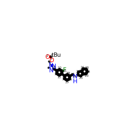 CC(C)(C)C(=O)OCn1cnc(-c2ccc(-c3cccc(CNC4Cc5ccccc5C4)c3)c(F)c2)n1